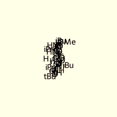 CCC(C)[C@H](NC(=O)[C@@H](NC(=O)OC(C)(C)C)C(C)C)C(=O)N[C@@H](C)C(=O)C(F)(F)C(=O)N[C@H](C(=O)N[C@H](C(=O)OC)C(C)CC)C(C)C